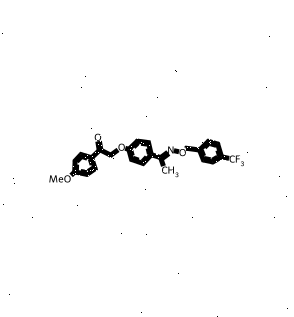 COc1ccc(C(=O)COc2ccc(C(C)=NOCc3ccc(C(F)(F)F)cc3)cc2)cc1